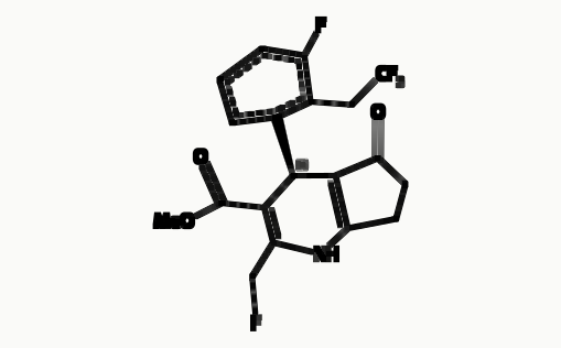 COC(=O)C1=C(CF)NC2=C(C(=O)CC2)[C@@H]1c1cccc(F)c1CC(F)(F)F